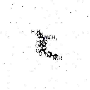 CO/N=C(\C(=O)N[C@@H]1C(=O)N2C(C(=O)[O-])=C(C[n+]3ccc(-c4cc[nH]n4)cc3)CS[C@H]12)c1csc(N)n1